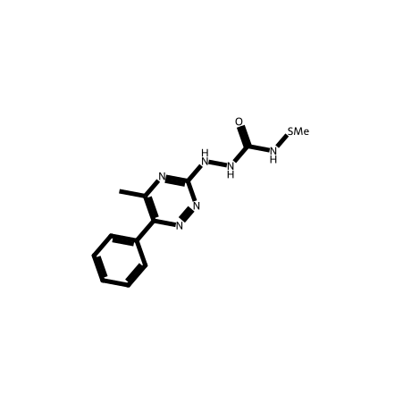 CSNC(=O)NNc1nnc(-c2ccccc2)c(C)n1